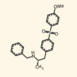 COc1ccc(S(=O)(=O)c2ccc(C[C@@H](C)NCc3ccccc3)cc2)cc1